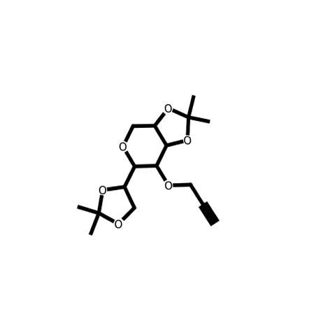 C#CCOC1C(C2COC(C)(C)O2)OCC2OC(C)(C)OC21